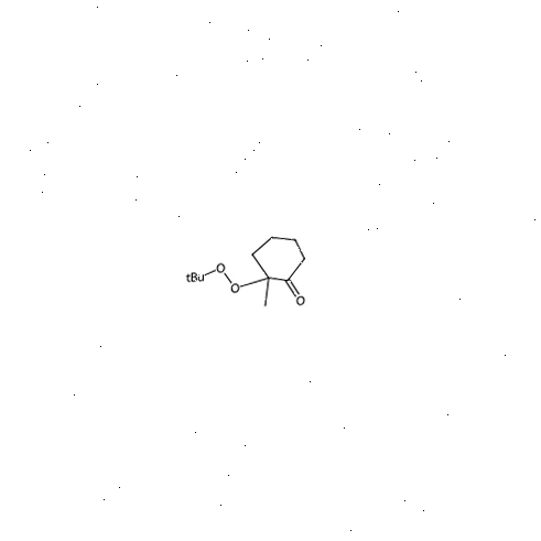 CC(C)(C)OOC1(C)CCCCC1=O